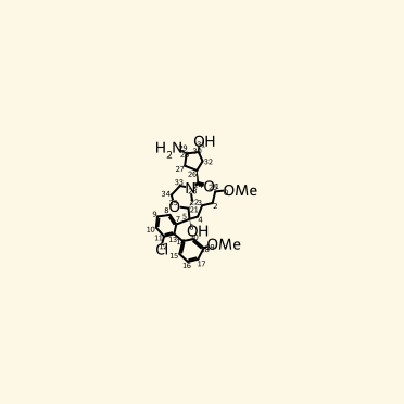 COCCCC[C@@](O)(c1cccc(Cl)c1-c1cccc(OC)c1)[C@H]1CN(C(=O)[C@H]2C[C@@H](N)[C@@H](O)C2)CCO1